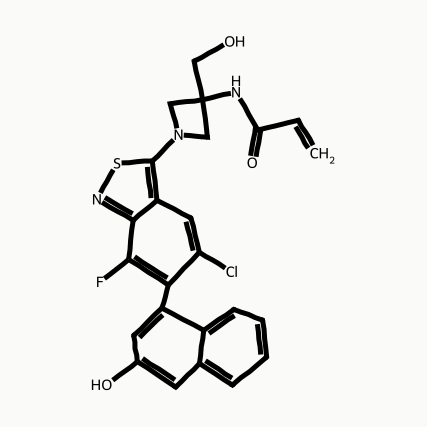 C=CC(=O)NC1(CO)CN(c2snc3c(F)c(-c4cc(O)cc5ccccc45)c(Cl)cc23)C1